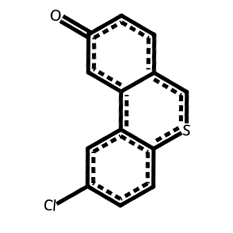 O=c1ccc2csc3ccc(Cl)cc3c-2c1